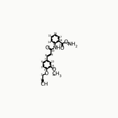 C#CCOc1ccc(/C=C/C(=O)Nc2ccccc2C(=O)ON)cc1OC